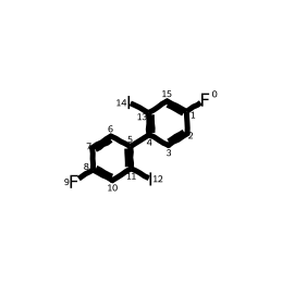 Fc1ccc(-c2ccc(F)cc2I)c(I)c1